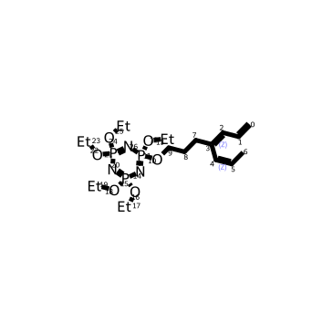 C=C/C=C(\C=C/C)CCCOP1(OCC)=NP(OCC)(OCC)=NP(OCC)(OCC)=N1